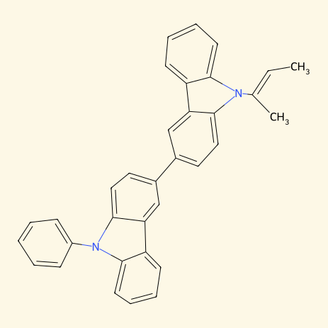 C/C=C(\C)n1c2ccccc2c2cc(-c3ccc4c(c3)c3ccccc3n4-c3ccccc3)ccc21